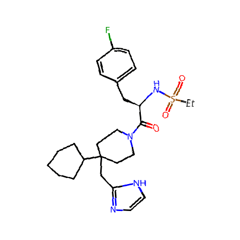 CCS(=O)(=O)N[C@H](Cc1ccc(F)cc1)C(=O)N1CCC(Cc2ncc[nH]2)(C2CCCCC2)CC1